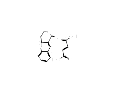 NC1OCCc2nc3ccccc3cc21.O=C(O)/C=C/C(=O)O